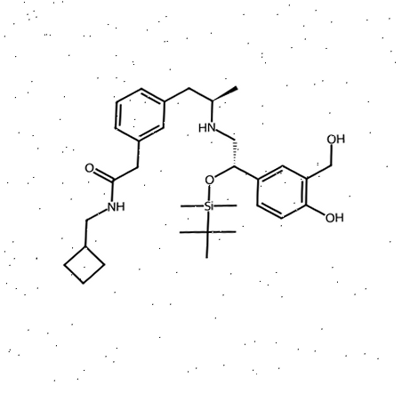 C[C@H](Cc1cccc(CC(=O)NCC2CCC2)c1)NC[C@@H](O[Si](C)(C)C(C)(C)C)c1ccc(O)c(CO)c1